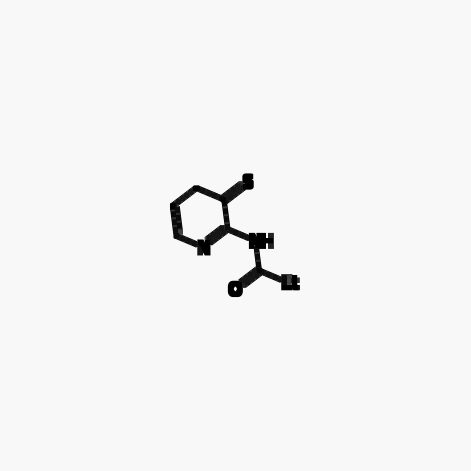 CCC(=O)NC1=NC=CCC1=S